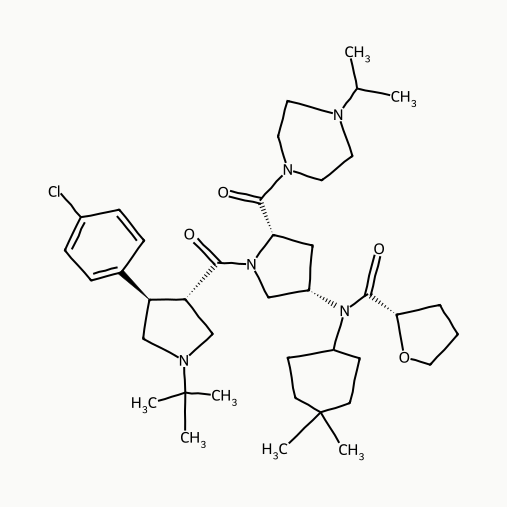 CC(C)N1CCN(C(=O)[C@@H]2C[C@H](N(C(=O)[C@@H]3CCCO3)C3CCC(C)(C)CC3)CN2C(=O)[C@@H]2CN(C(C)(C)C)C[C@H]2c2ccc(Cl)cc2)CC1